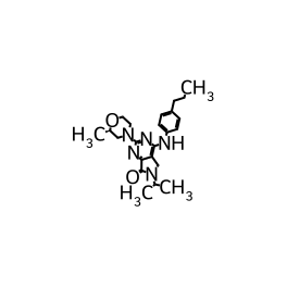 CCCc1ccc(Nc2nc(N3CCO[C@H](C)C3)nc3c2CN(C(C)C)C3=O)cc1